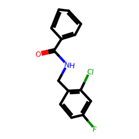 O=C(NCc1ccc(F)cc1Cl)c1ccccc1